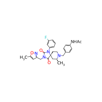 CC(=O)Nc1ccc(CN2CC[C@@]3(C[C@@H]2C)C(=O)N(Cc2cc(C)on2)C(=O)N3c2cccc(F)c2)cc1